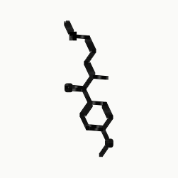 C=N/C=C\C=C(/C)C(=O)c1ccc(OC)cc1